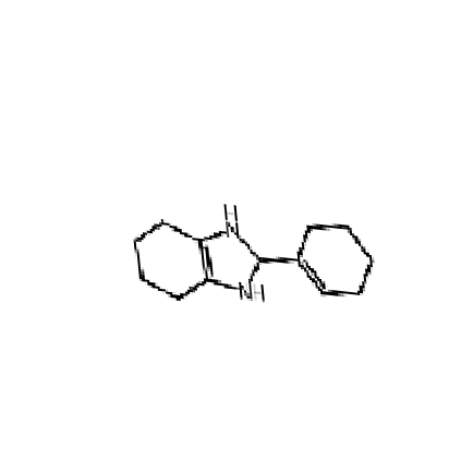 C1=C(C2NC3=C(CCCC3)N2)CCCC1